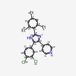 CCc1cc(CC)c(-c2nc(-c3ccncc3)c(-c3ccc(Cl)c(Cl)c3)[nH]2)c(CC)c1